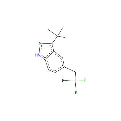 CC(C)(C)c1n[nH]c2ccc(CC(F)(F)F)cc12